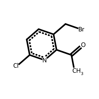 CC(=O)c1nc(Cl)ccc1CBr